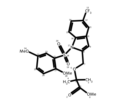 COC(=O)C(C)(C)OCc1cc2cc(C(F)(F)F)ccc2n1S(=O)(=O)c1cc(OC)ccc1OC